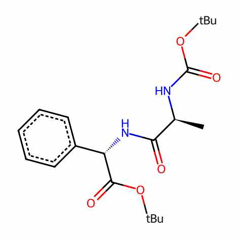 C[C@H](NC(=O)OC(C)(C)C)C(=O)N[C@H](C(=O)OC(C)(C)C)c1ccccc1